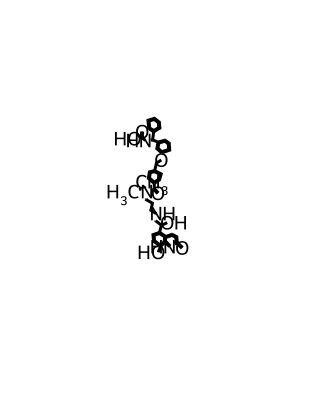 CC(C)N(CCCNCC(O)c1ccc(O)c2[nH]c(=O)ccc12)C(=O)c1ccc(COc2cccc(C(NC(=O)O)c3ccccc3)c2)cc1